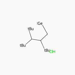 CC(C)(C)C([CH2][Ge])C(C(C)(C)C)C(C)(C)C.Cl